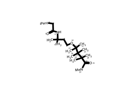 CCCC(C)CC(=O)NC(C)(P)CCOC(C)(C)C(C)(C)C(C)(C)C(=O)NC